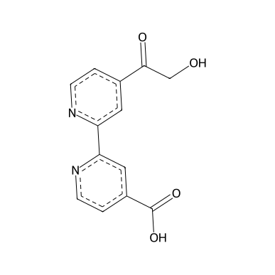 O=C(O)c1ccnc(-c2cc(C(=O)CO)ccn2)c1